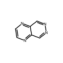 c1cnc2cnncc2n1